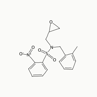 Cc1ccccc1CN(CC1CO1)S(=O)(=O)c1ccccc1[N+](=O)[O-]